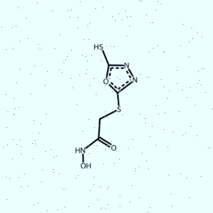 O=C(CSc1nnc(S)o1)NO